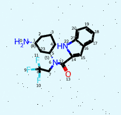 N[C@@H]1CCC[C@H](N(CC(F)(F)F)C(=O)c2cc3ccccc3[nH]2)C1